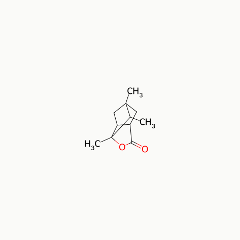 CC1C2(C)CC3C(=O)OC1(C)C3C2